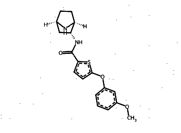 COc1cccc(Oc2ccc(C(=O)N[C@@H]3C[C@H]4CC[C@@H]3N4)s2)c1